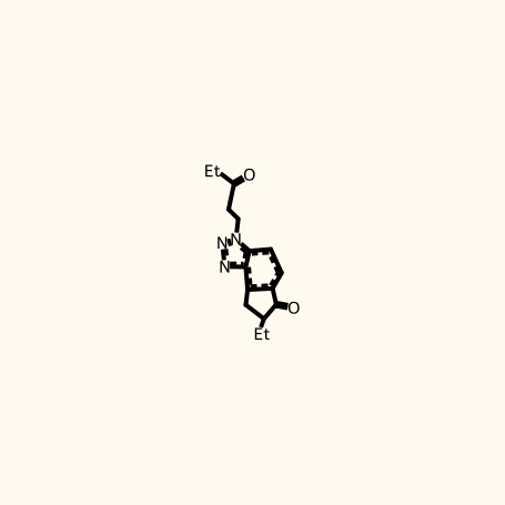 CCC(=O)CCn1nnc2c3c(ccc21)C(=O)C(CC)C3